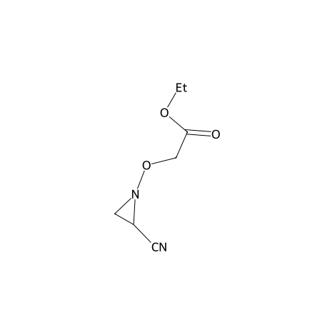 CCOC(=O)CON1CC1C#N